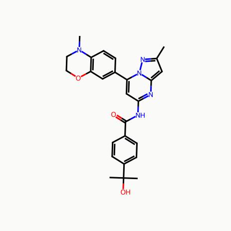 Cc1cc2nc(NC(=O)c3ccc(C(C)(C)O)cc3)cc(-c3ccc4c(c3)OCCN4C)n2n1